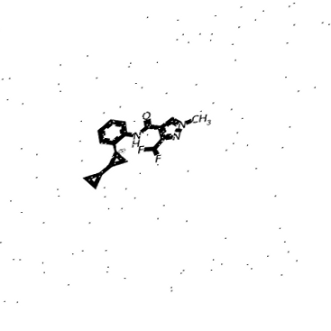 Cn1cc(C(=O)Nc2ccccc2[C@H]2CC2C2CC2)c(C(F)F)n1